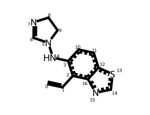 C=Cc1c(NN2C=NCC2)ccc2scnc12